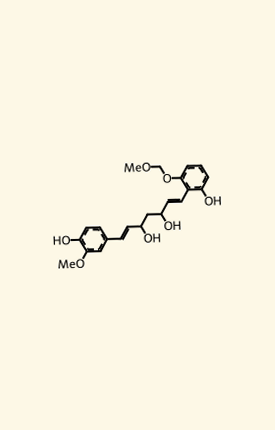 COCOc1cccc(O)c1/C=C/C(O)CC(O)/C=C/c1ccc(O)c(OC)c1